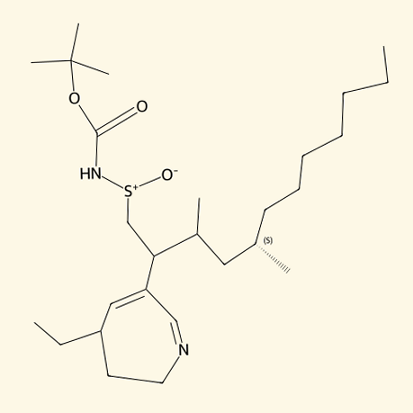 CCCCCCC[C@H](C)CC(C)C(C[S+]([O-])NC(=O)OC(C)(C)C)C1=CC(CC)CCN=C1